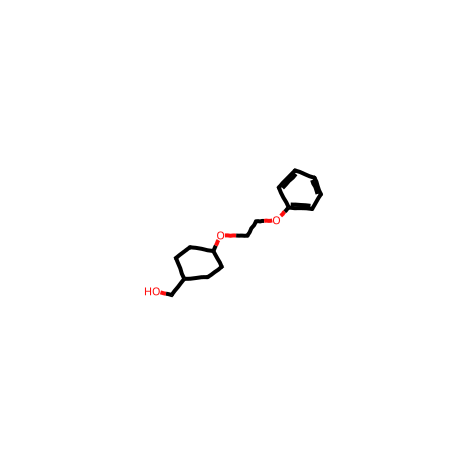 OCC1CCC(OCCOc2ccccc2)CC1